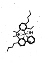 CCCCc1ccc(CC)c(P(O)(O)(c2ccccc2)c2c(CC)ccc(CCCC)c2CC)c1CC